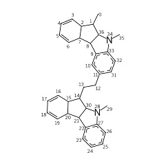 CC1C2C=CC=CC2C2c3cc(CCC4C5C=CC=CC5C5c6ccccc6N(C)C45)ccc3N(C)C12